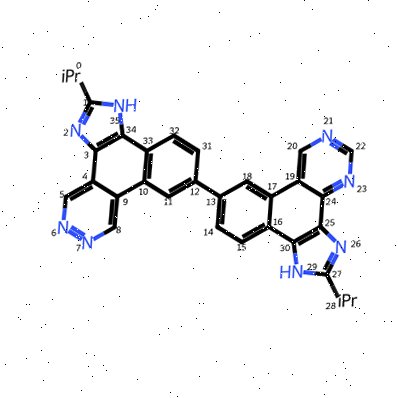 CC(C)c1nc2c3cnncc3c3cc(-c4ccc5c(c4)c4cncnc4c4nc(C(C)C)[nH]c54)ccc3c2[nH]1